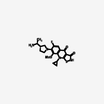 COc1c(N2CC[C@@H]([C@H](C)N)C2)c(F)cc2c(=O)c3c(=O)[nH]sc3n(C3CC3)c12